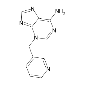 Nc1ncn(Cc2cccnc2)c2ncnc1-2